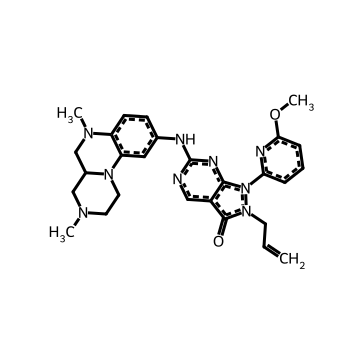 C=CCn1c(=O)c2cnc(Nc3ccc4c(c3)N3CCN(C)CC3CN4C)nc2n1-c1cccc(OC)n1